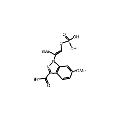 CCCCC(=COP(=O)(O)O)n1nc(C(=O)C(C)C)c2ccc(OC)cc21